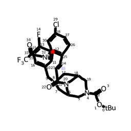 CC(C)(C)OC(=O)N1CC2CN(Cc3ccc(F)cc3)CC(C1)N2C(=O)/C=C/c1ccc(Cl)cc1NC(=O)C(F)(F)F